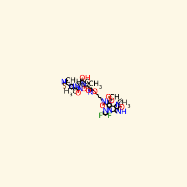 Cc1ncsc1-c1ccc([C@@]2(C)NC([C@H]3C[C@@H](O)CN3C(=O)[C@@H](c3cc(OCCCCCNC(=O)c4cc5c(cc4CS(C)(=O)=O)-c4cn(C)c(=O)c6[nH]cc(c46)CN5c4ncc(F)cc4F)no3)C(C)C)=NC2=O)cc1